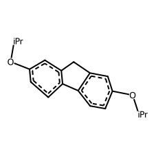 CC(C)Oc1ccc2c(c1)Cc1cc(OC(C)C)ccc1-2